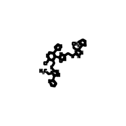 CCn1c(SCc2noc(-c3c(-c4ccsc4)cnc(Cl)c3CSc3nnc(-c4cccs4)n3CC)n2)nnc1-c1cccs1